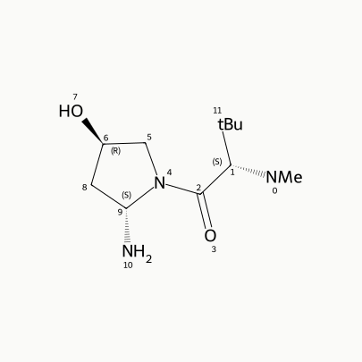 CN[C@H](C(=O)N1C[C@H](O)C[C@H]1N)C(C)(C)C